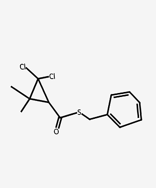 CC1(C)C(C(=O)SCc2ccccc2)C1(Cl)Cl